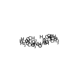 CN1C(C)(C)CC(OC(=O)NCc2cccc(CNC(=O)OC3CC(C)(C)N(C)C(C)(C)C3)c2)CC1(C)C